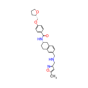 Cc1cc(CNCc2ccc3c(c2)CC[C@H](NC(=O)c2ccc(OC[C@@H]4CCCO4)cc2)C3)no1